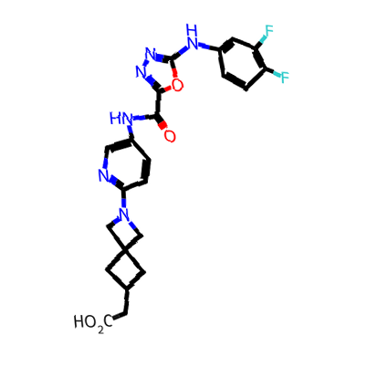 O=C(O)CC1CC2(C1)CN(c1ccc(NC(=O)c3nnc(Nc4ccc(F)c(F)c4)o3)cn1)C2